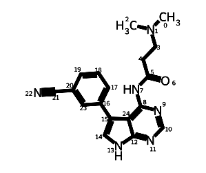 CN(C)CCC(=O)Nc1ncnc2[nH]cc(-c3cccc(C#N)c3)c12